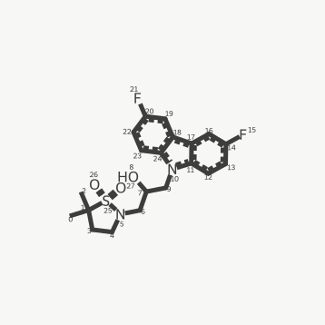 CC1(C)CCN(CC(O)Cn2c3ccc(F)cc3c3cc(F)ccc32)S1(=O)=O